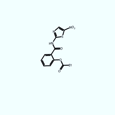 CCC(=O)Oc1ccccc1C(=O)Nc1ncc([N+](=O)[O-])s1